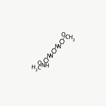 CC(=O)Nc1ccc(N=Nc2ccc(N=Nc3ccc(C(C)=O)cc3)cc2)cc1